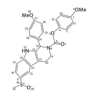 COc1ccc(OC(=O)N2CCc3c([nH]c4ccc([S+](C)[O-])cc34)C2c2ccc(OC)cc2)cc1